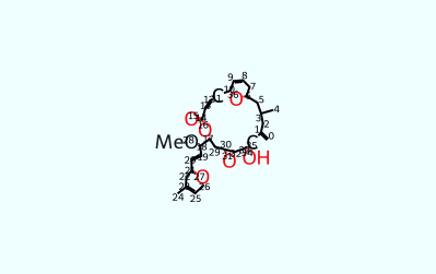 C=C1CC(C)CC2CC=CC(CC=CC(=O)OC(C(C=CC3CC(C)=CCO3)OC)CC3OC3C(O)C1)O2